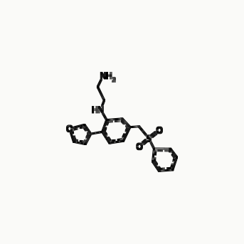 NCCNc1cc(CS(=O)(=O)c2ccccc2)ccc1-c1ccoc1